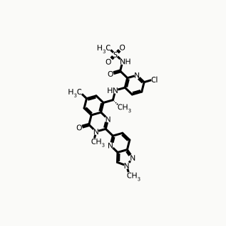 Cc1cc([C@@H](C)Nc2ccc(Cl)nc2C(=O)NS(C)(=O)=O)c2nc(-c3ccc4nn(C)cc4n3)n(C)c(=O)c2c1